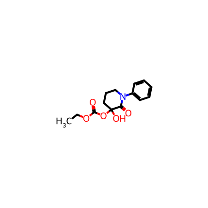 CCOC(=O)OC1(O)CCCN(c2ccccc2)C1=O